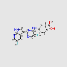 C[C@@]1(C(=O)O)CCC[C@H](Nc2nc(-c3c[nH]c4ncc(F)cc34)ncc2F)C1